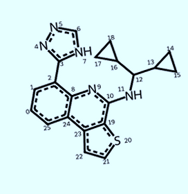 c1cc(-c2nnc[nH]2)c2nc(NC(C3CC3)C3CC3)c3sccc3c2c1